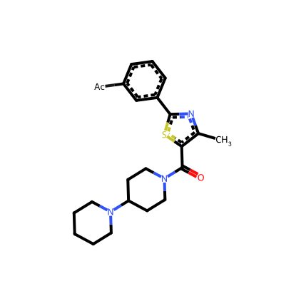 CC(=O)c1cccc(-c2nc(C)c(C(=O)N3CCC(N4CCCCC4)CC3)s2)c1